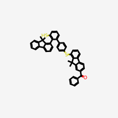 CC1(C)c2cc(C(=O)c3ccccc3)ccc2-c2cccc(Sc3ccc(-c4cccc(S)c4-c4cccc5c4C(C)(C)c4ccccc4-5)cc3)c21